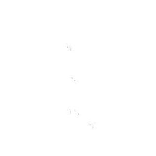 N#Cc1ccc2cn[nH]c2n1